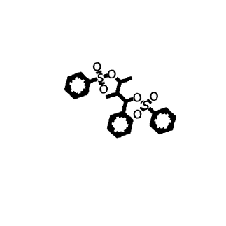 CC(OS(=O)(=O)c1ccccc1)C(C)C(OS(=O)(=O)c1ccccc1)c1ccccc1